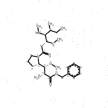 CC[C@H](C)[C@H](NC)[C@@H](CC(=O)N1CCC[C@H]1[C@H](OC)[C@@H](C)C(=O)OCc1ccccc1)OC